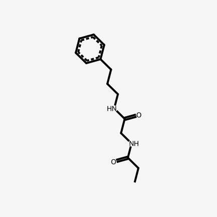 CCC(=O)NCC(=O)NCCCc1ccccc1